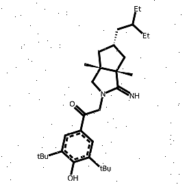 CCC(CC)C[C@H]1C[C@@]2(C)CN(CC(=O)c3cc(C(C)(C)C)c(O)c(C(C)(C)C)c3)C(=N)[C@@]2(C)C1